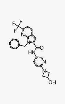 O=C(Nc1ccc(N2CC(O)C2)nc1)c1cc2ccc(C(F)(F)F)nc2n1Cc1ccccc1